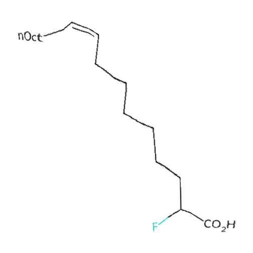 CCCCCCCC/C=C\CCCCCCC(F)C(=O)O